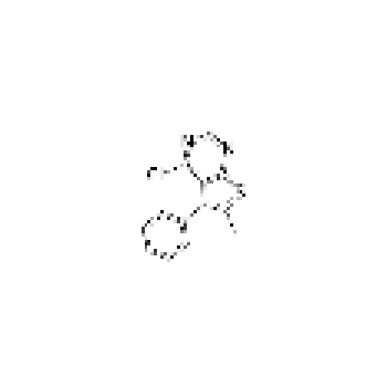 Cc1sc2n[c]nc(Cl)c2c1-c1ccccc1